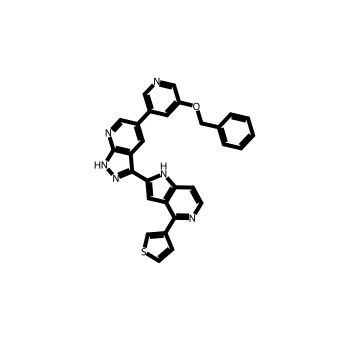 c1ccc(COc2cncc(-c3cnc4[nH]nc(-c5cc6c(-c7ccsc7)nccc6[nH]5)c4c3)c2)cc1